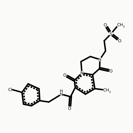 Cc1cc(C(=O)NCc2ccc(Cl)cc2)c(=O)n2c1C(=O)N(CCS(C)(=O)=O)CC2